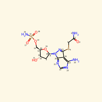 NC(=O)CSc1nn([C@H]2C[C@H](O)[C@@H](COS(N)(=O)=O)O2)c2ncnc(N)c12